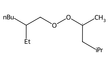 CCCCC(CC)COO[C](C)CC(C)C